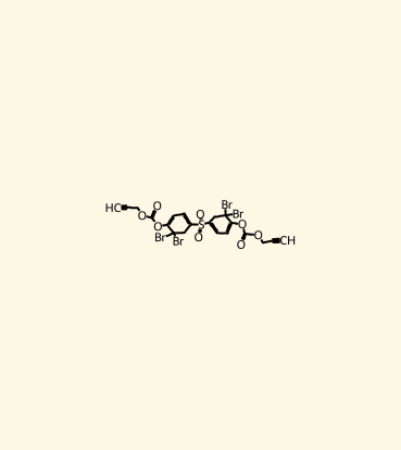 C#CCOC(=O)OC1=CC=C(S(=O)(=O)C2=CC=C(OC(=O)OCC#C)C(Br)(Br)C2)CC1(Br)Br